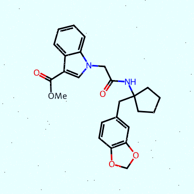 COC(=O)c1cn(CC(=O)NC2(Cc3ccc4c(c3)OCO4)CCCC2)c2ccccc12